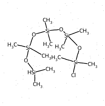 C[SiH](C)O[Si](C)(C)O[Si](C)(C)O[Si](C)(C)O[Si](C)(C)Cl